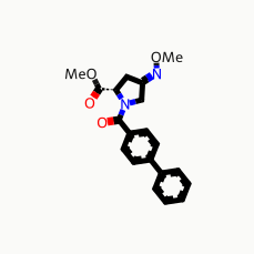 CO/N=C1\C[C@@H](C(=O)OC)N(C(=O)c2ccc(-c3ccccc3)cc2)C1